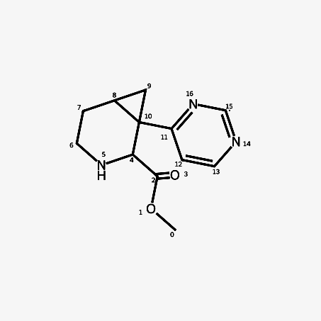 COC(=O)C1NCCC2CC21c1ccn[c]n1